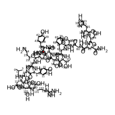 CC(C)C[C@H](NC(=O)[C@H](Cc1ccc(O)cc1)NC(=O)[C@H](CCCCN)NC(=O)[C@H](CO)NC(=O)[C@H](Cc1ccc(O)cc1)NC(=O)[C@H](CC(=O)O)NC(=O)[C@H](CO)NC(=O)[C@@H](NC(=O)[C@H](Cc1ccccc1)NC(=O)[C@@H](NC(=O)CNC(=O)[C@H](CCC(N)=O)NC(=O)[C@H](CO)NC(=O)[C@@H](N)Cc1c[nH]cn1)[C@@H](C)O)[C@@H](C)O)C(=O)N[C@@H](CC(=O)O)C(=O)N[C@@H](CO)C(=O)N[C@@H](CCCNC(=N)N)C(=O)O